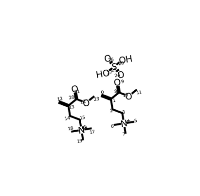 C=C(CC[N+](C)(C)C)C(=O)OC.C=C(CC[N+](C)(C)C)C(=O)OC.O=S(=O)(O)O